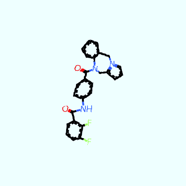 O=C(Nc1ccc(C(=O)N2Cc3cccn3Cc3ccccc32)cc1)c1cccc(F)c1F